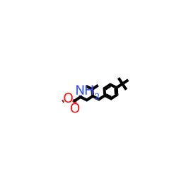 COC(=O)C(N)CC(Cc1ccc(C(C)(C)C)cc1)C(C)C